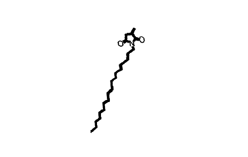 C=C1CC(=O)N(CCCCCCCCCCCCCCCCCC)C1=O